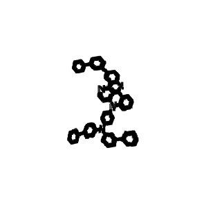 c1ccc(-c2ccc(N(c3ccc(N4c5ccccc5-c5nc6ccc(-c7cccc(-c8ccccc8)c7)cc6c6nccc4c56)cc3)c3cccc(-c4ccccc4)c3)cc2)cc1